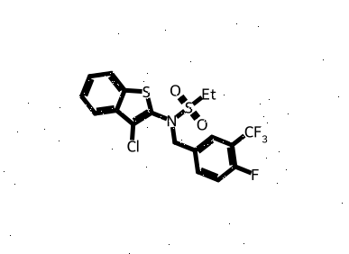 CCS(=O)(=O)N(Cc1ccc(F)c(C(F)(F)F)c1)c1sc2ccccc2c1Cl